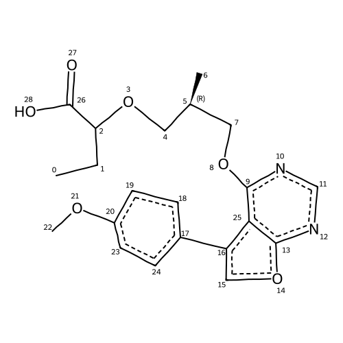 CCC(OC[C@@H](C)COc1ncnc2occ(-c3ccc(OC)cc3)c12)C(=O)O